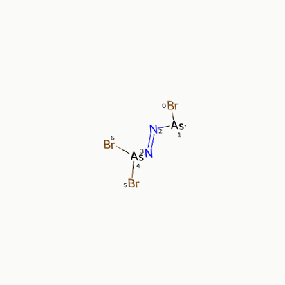 Br[As]N=N[As](Br)Br